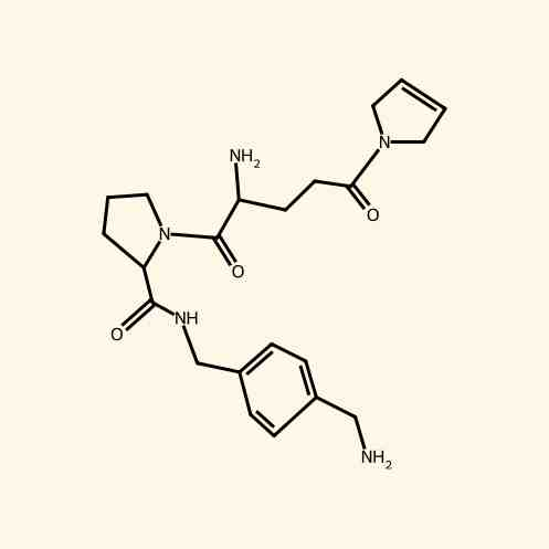 NCc1ccc(CNC(=O)C2CCCN2C(=O)C(N)CCC(=O)N2CC=CC2)cc1